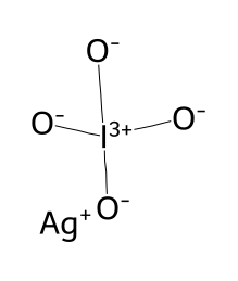 [Ag+].[O-][I+3]([O-])([O-])[O-]